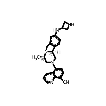 C[C@@H]1CN(c2ccc(C#N)c3ncccc23)C[C@@H]2c3ccc(NC4CNC4)cc3CN12